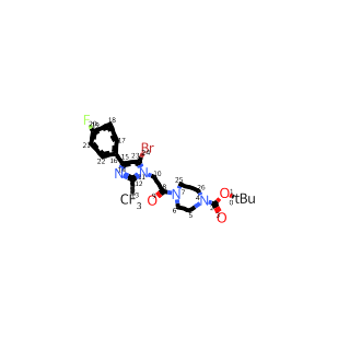 CC(C)(C)OC(=O)N1CCN(C(=O)Cn2c(C(F)(F)F)nc(-c3ccc(F)cc3)c2Br)CC1